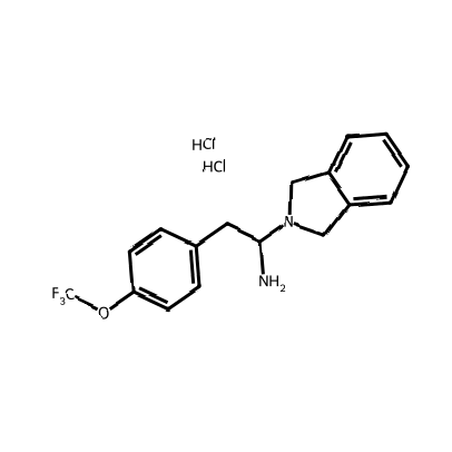 Cl.Cl.NC(Cc1ccc(OC(F)(F)F)cc1)N1Cc2ccccc2C1